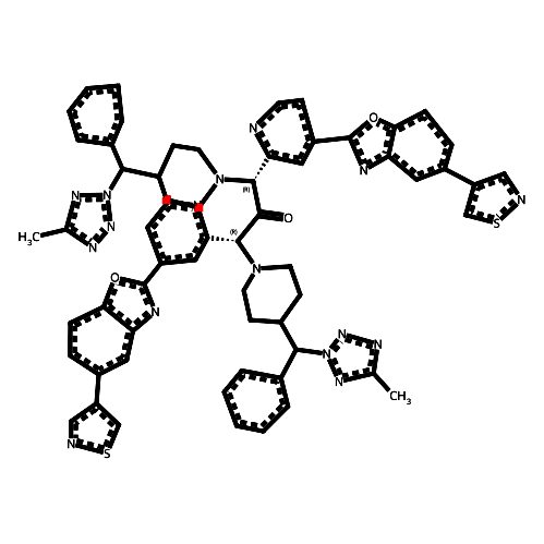 Cc1nnn(C(c2ccccc2)C2CCN([C@@H](C(=O)[C@@H](c3cc(-c4nc5cc(-c6cnsc6)ccc5o4)ccn3)N3CCC(C(c4ccccc4)n4nnc(C)n4)CC3)c3cc(-c4nc5cc(-c6cnsc6)ccc5o4)ccn3)CC2)n1